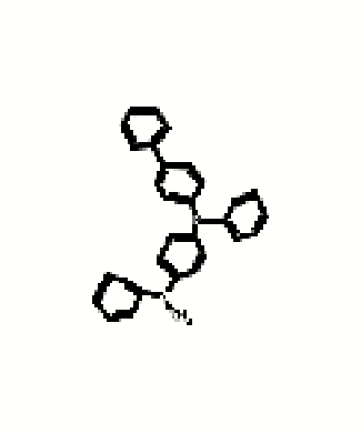 CN(c1ccccc1)c1ccc(N(c2ccccc2)c2ccc(-c3ccccc3)cc2)cc1